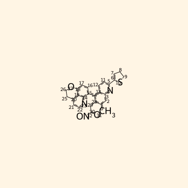 Cc1cc2nc(C3=CCCS3)ccc2c(-c2ccc3c4c(ccnc24)CCO3)c1CC(=O)N=O